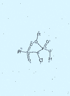 CCOP(=O)(OCC)C(Cl)S(=O)(=O)C(C)C